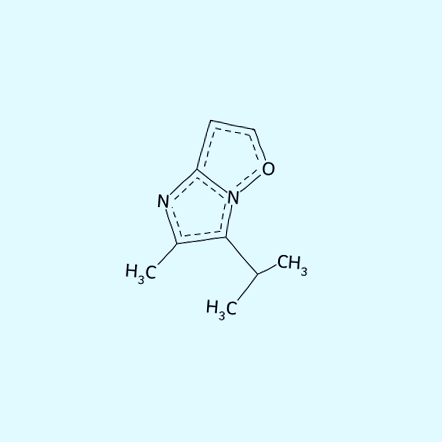 Cc1nc2ccon2c1C(C)C